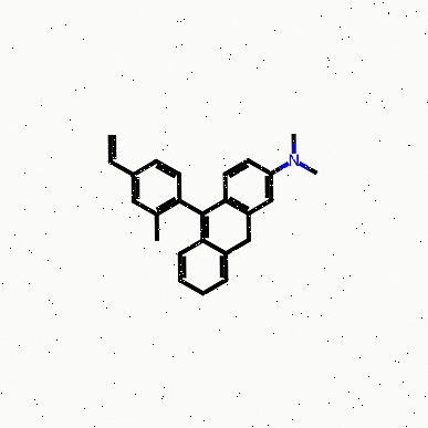 C=Cc1ccc(C2=C3C=CCC=C3Cc3cc(N(C)C)ccc32)c(C)c1